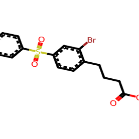 O=C(O)CCCc1ccc(S(=O)(=O)c2ccccc2)cc1Br